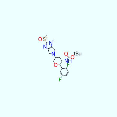 Cn1c([S+](C)[O-])nc2c1CN([C@H]1CO[C@H](c3cc(F)ccc3F)[C@@H](NC(=O)OC(C)(C)C)C1)C2